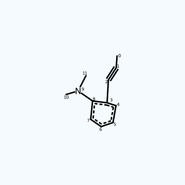 CC#Cc1ccccc1N(C)C